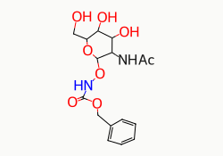 CC(=O)NC1C(ONC(=O)OCc2ccccc2)OC(CO)C(O)C1O